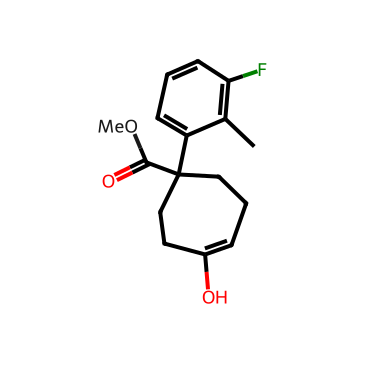 COC(=O)C1(c2cccc(F)c2C)CCC=C(O)CC1